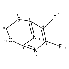 Fc1nc2nc(c1F)SCO2